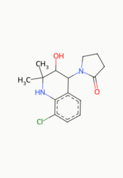 CC1(C)Nc2c(Cl)cccc2C(N2CCCC2=O)C1O